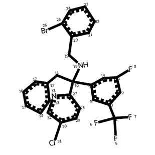 Fc1cc(C(F)(F)F)cc(C(Cc2ccccc2)(NCc2ccccc2Br)c2ccc(Cl)cn2)c1